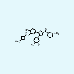 COC1CC(N/C=C2/C=C(c3sc(C(=O)N4CCC[C@@H](N)C4)cc3-c3ccc(C#N)c(F)c3)C=CC2=N)C1